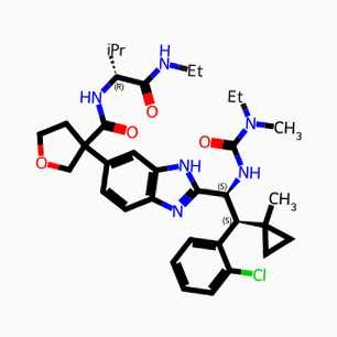 CCNC(=O)[C@H](NC(=O)C1(c2ccc3nc([C@@H](NC(=O)N(C)CC)[C@H](c4ccccc4Cl)C4(C)CC4)[nH]c3c2)CCOC1)C(C)C